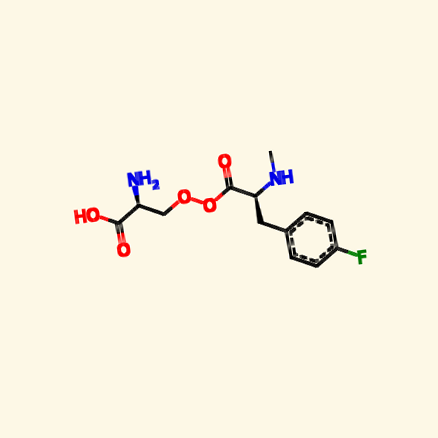 CN[C@@H](Cc1ccc(F)cc1)C(=O)OOC[C@H](N)C(=O)O